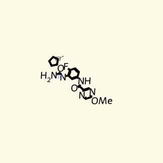 COc1cnc(C(=O)Nc2ccc(F)c(/N=C(/N)OC3CCC[C@@H]3C)c2)cn1